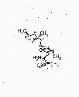 C=CC(=O)[O-].C=CC(N)=O.C=CC[N+](C)(C)CC=C.[Cl-].[Na+]